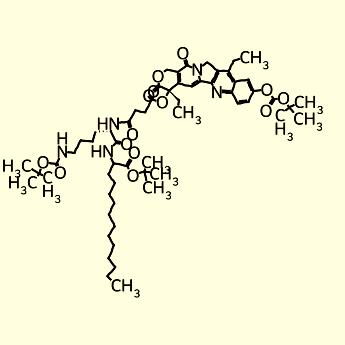 CCCCCCCCCCCCC(NC(=O)[C@H](CCCCNC(=O)OC(C)(C)C)NC(=O)CCC(=O)O[C@]1(CC)C(=O)OCc2c1cc1n(c2=O)Cc2c-1nc1ccc(OC(=O)OC(C)(C)C)cc1c2CC)C(=O)OC(C)(C)C